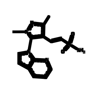 Cc1nn(C)c(-n2ccc3cccnc32)c1/C=C/S(N)(=O)=O